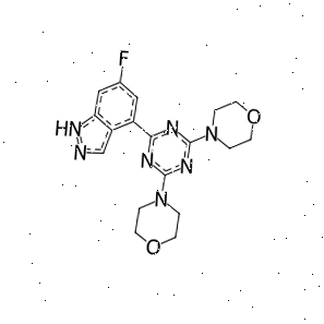 Fc1cc(-c2nc(N3CCOCC3)nc(N3CCOCC3)n2)c2cn[nH]c2c1